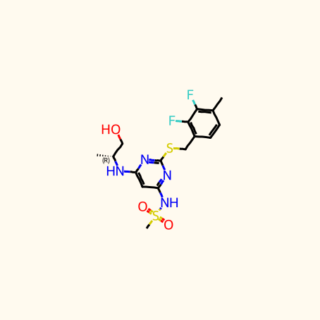 Cc1ccc(CSc2nc(N[C@H](C)CO)cc(NS(C)(=O)=O)n2)c(F)c1F